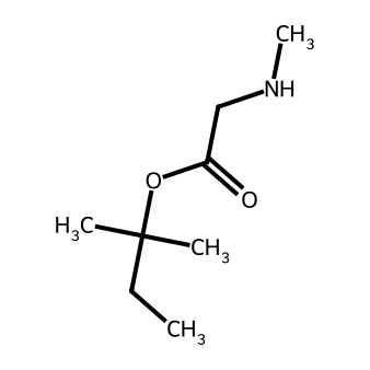 CCC(C)(C)OC(=O)CNC